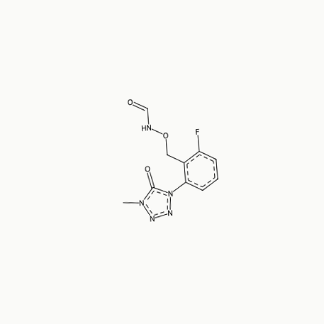 Cn1nnn(-c2cccc(F)c2CONC=O)c1=O